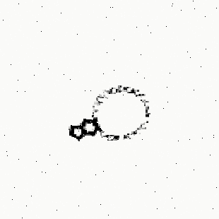 [CH]1C=Cc2cc3c(cc21)CCCCCCCCCCCCCCCCCC3